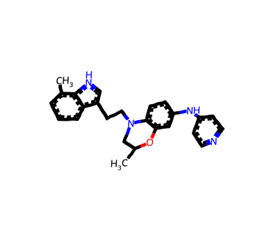 Cc1cccc2c(CCN3CC(C)Oc4cc(Nc5ccncc5)ccc43)c[nH]c12